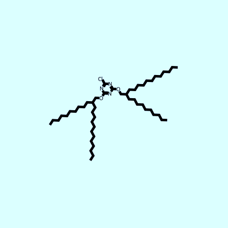 CCCCCCCCCCCCC(CCCCCCCCCC)COc1nc(Cl)nc(OCC(CCCCCCCCCC)CCCCCCCCCCCC)n1